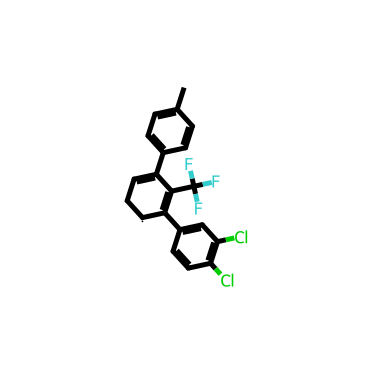 Cc1ccc(C2=CC[CH]C(c3ccc(Cl)c(Cl)c3)=C2C(F)(F)F)cc1